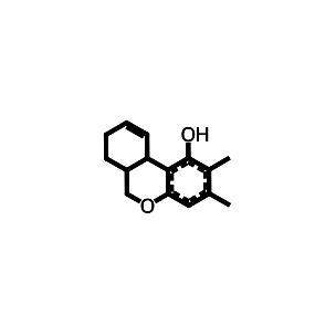 Cc1cc2c(c(O)c1C)C1C=CCCC1CO2